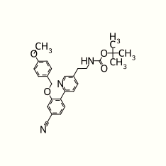 COc1ccc(COc2cc(C#N)ccc2-c2ccc(CCNC(=O)OC(C)(C)C)cn2)cc1